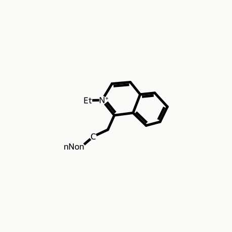 CCCCCCCCCCCc1c2ccccc2cc[n+]1CC